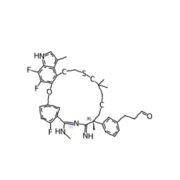 CN/C1=N\C(=N)[C@@](C)(c2cccc(CCC=O)c2)CCCC(C)(C)CSCCc2c(c(F)c(F)c3[nH]cc(C)c23)Oc2ccc(F)c1c2